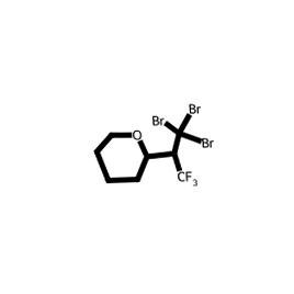 FC(F)(F)C(C1CCCCO1)C(Br)(Br)Br